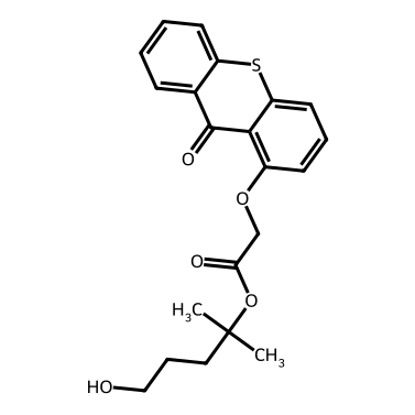 CC(C)(CCCO)OC(=O)COc1cccc2sc3ccccc3c(=O)c12